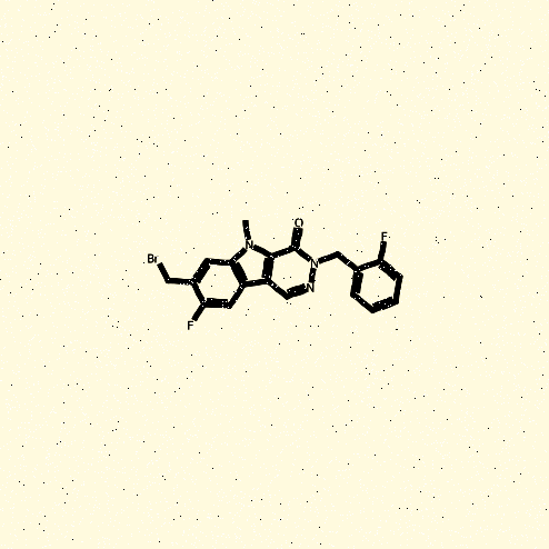 Cn1c2cc(CBr)c(F)cc2c2cnn(Cc3ccccc3F)c(=O)c21